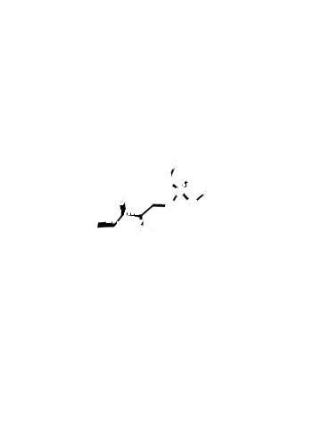 C=CC(=O)C(O)COP(=O)(OCC)OCC